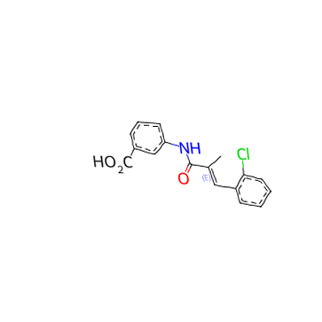 C/C(=C\c1ccccc1Cl)C(=O)Nc1cccc(C(=O)O)c1